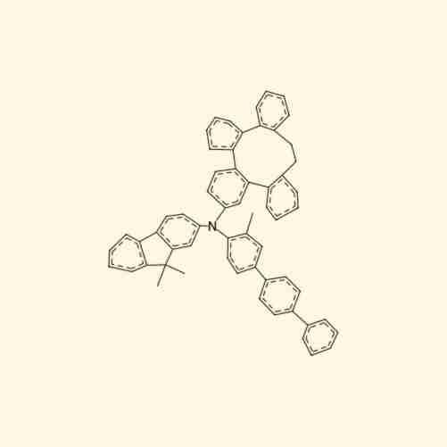 Cc1cc(-c2ccc(-c3ccccc3)cc2)ccc1N(c1ccc2c(c1)-c1ccccc1CCc1ccccc1-c1ccccc1-2)c1ccc2c(c1)C(C)(C)c1ccccc1-2